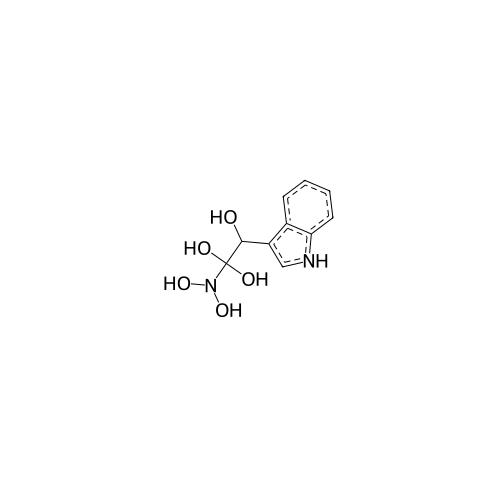 OC(c1c[nH]c2ccccc12)C(O)(O)N(O)O